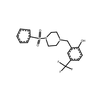 O=S(=O)(c1ccccc1)N1CCN(Cc2cc(C(F)(F)F)ccc2O)CC1